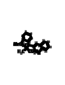 COc1ccccc1C(c1cnc2ccccc2c1)C(C)(C#N)C(=O)O